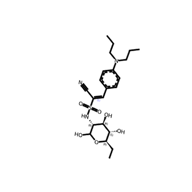 CCCN(CCC)c1ccc(/C=C(\C#N)S(=O)(=O)N[C@H]2C(O)O[C@H](CC)[C@@H](O)[C@@H]2O)cc1